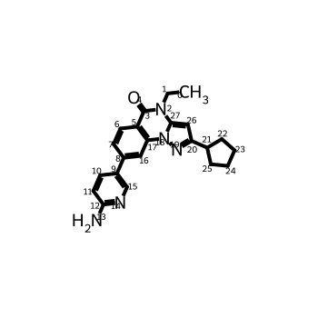 CCn1c(=O)c2ccc(-c3ccc(N)nc3)cc2n2nc(C3CCCC3)cc12